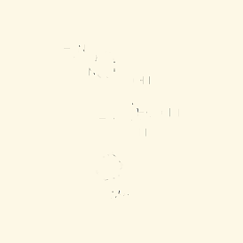 COc1ccc(CCC(C)(C)NCC(O)c2ccc(N)nc2)cc1.Cl.Cl